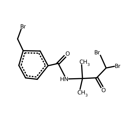 CC(C)(NC(=O)c1cccc(CBr)c1)C(=O)C(Br)Br